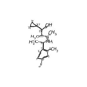 Cc1cc(F)ccc1C(C)NN(C)C(C)C(O)C1CC1